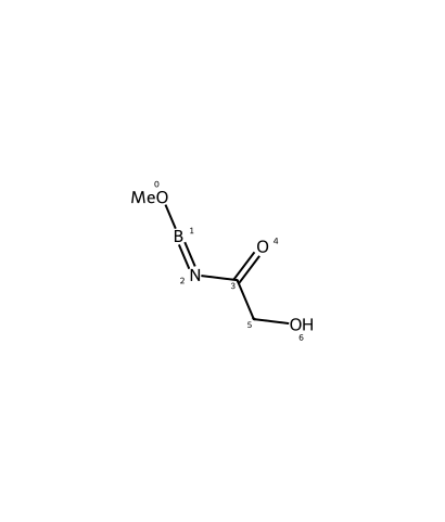 CO/B=N/C(=O)CO